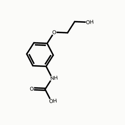 O=C(O)Nc1cccc(OCCO)c1